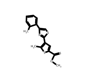 COC(=S)c1cc(-c2nc(-c3ccccc3C)cs2)c(C)s1